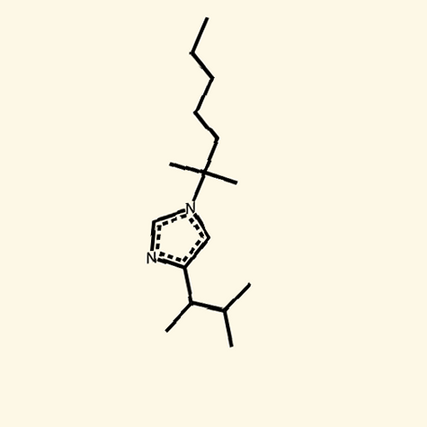 CCCCCC(C)(C)n1cnc(C(C)C(C)C)c1